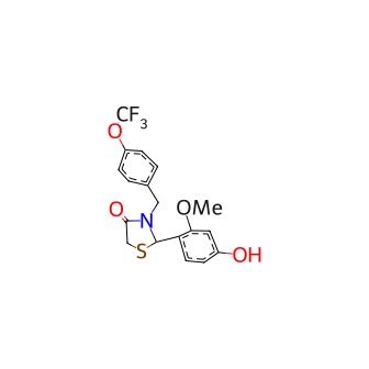 COc1cc(O)ccc1C1SCC(=O)N1Cc1ccc(OC(F)(F)F)cc1